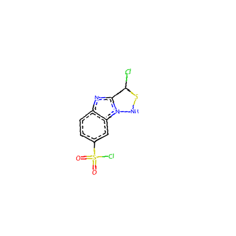 O=S(=O)(Cl)c1ccc2nc3n(c2c1)NSC3Cl